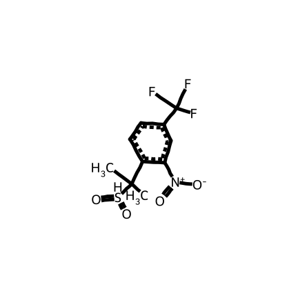 CC(C)(c1ccc(C(F)(F)F)cc1[N+](=O)[O-])[SH](=O)=O